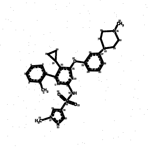 Cc1ccccc1-c1nc(NS(=O)(=O)c2cnn(C)c2)nc(Oc2cccc(N3CCN(C)CC3)c2)c1C1CC1